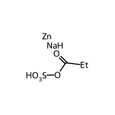 CCC(=O)OS(=O)(=O)O.[NaH].[Zn]